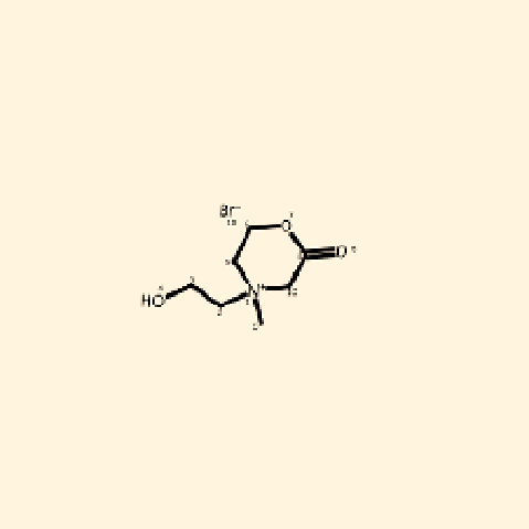 C[N+]1(CCO)CCOC(=O)C1.[Br-]